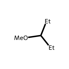 CCC(CC)OC